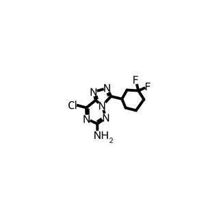 Nc1nc(Cl)c2nnc(C3CCCC(F)(F)C3)n2n1